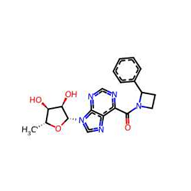 C[C@H]1O[C@@H](n2cnc3c(C(=O)N4CCC4c4ccccc4)ncnc32)[C@H](O)[C@@H]1O